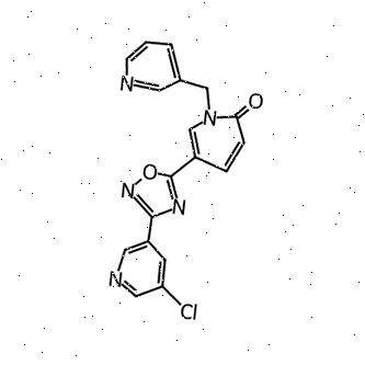 O=c1ccc(-c2nc(-c3cncc(Cl)c3)no2)cn1Cc1cccnc1